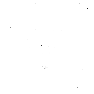 NCC(=O)c1cccc(Cl)c1-c1ccccc1